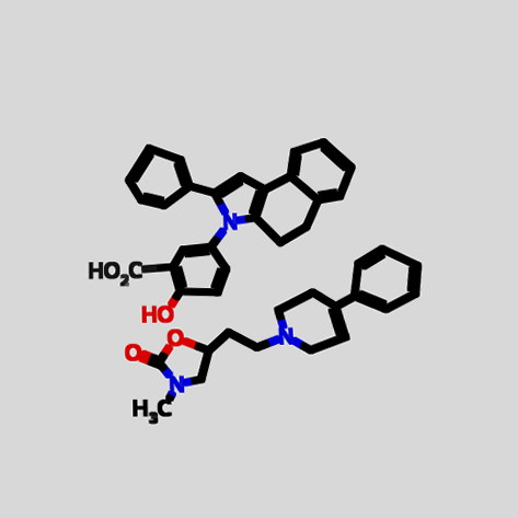 CN1CC(CCN2CC=C(c3ccccc3)CC2)OC1=O.O=C(O)c1cc(-n2c(-c3ccccc3)cc3c2CCc2ccccc2-3)ccc1O